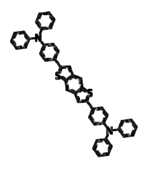 c1ccc(N(c2ccccc2)c2ccc(-c3cc4cc5sc(-c6ccc(N(c7ccccc7)c7ccccc7)cc6)cc5cc4s3)cc2)cc1